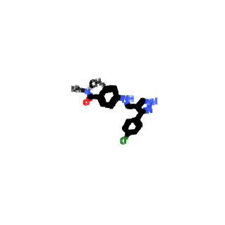 CCCN(C)C(=O)c1ccc(NCc2c[nH]nc2-c2ccc(Cl)cc2)cc1